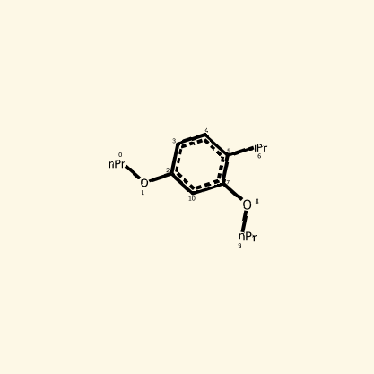 CCCOc1ccc(C(C)C)c(OCCC)c1